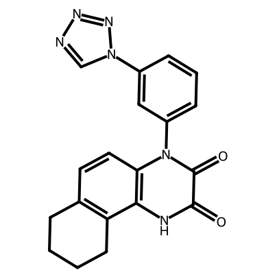 O=c1[nH]c2c3c(ccc2n(-c2cccc(-n4cnnn4)c2)c1=O)CCCC3